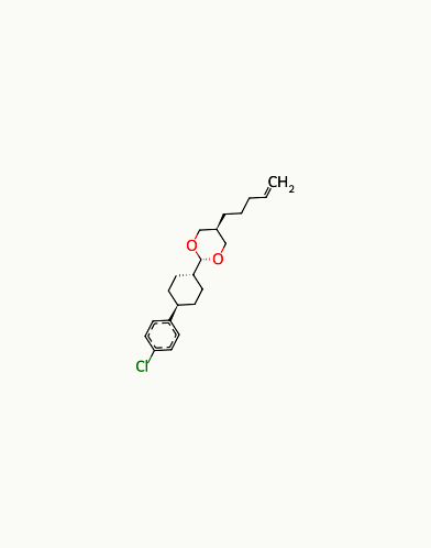 C=CCCC[C@H]1CO[C@H]([C@H]2CC[C@H](c3ccc(Cl)cc3)CC2)OC1